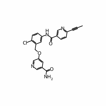 CC#Cc1ccc(C(=O)Nc2ccc(Cl)c(COc3cncc(C(N)=O)c3)c2)cn1